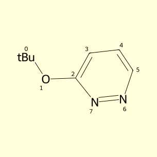 CC(C)(C)Oc1cccnn1